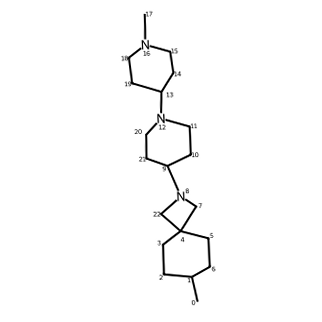 CC1CCC2(CC1)CN(C1CCN(C3CCN(C)CC3)CC1)C2